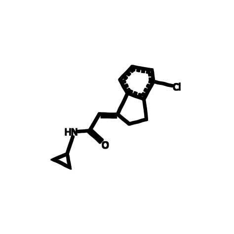 O=C(C=C1CCc2c(Cl)cccc21)NC1CC1